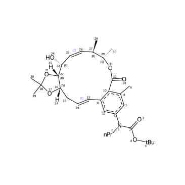 CCCN(C(=O)OC(C)(C)C)c1cc(C)c2c(c1)/C=C/C[C@@H]1OC(C)(C)O[C@@H]1[C@H](O)/C=C\[C@@H](C)[C@H](C)OC2=O